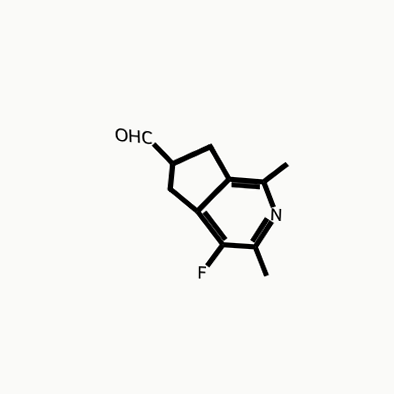 Cc1nc(C)c2c(c1F)CC(C=O)C2